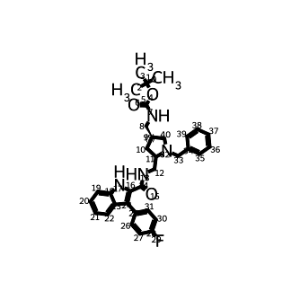 CC(C)(C)OC(=O)NC[C@@H]1CC(CNC(=O)c2[nH]c3ccccc3c2-c2ccc(F)cc2)N(Cc2ccccc2)C1